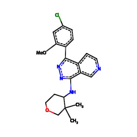 COc1cc(Cl)ccc1-c1nnc(NC2CCOCC2(C)C)c2cnccc12